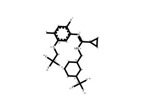 Cc1cc(F)c(/N=C(\NCC2CCCC(C(F)(F)F)C2)C2CC2)cc1SCC(F)(F)F